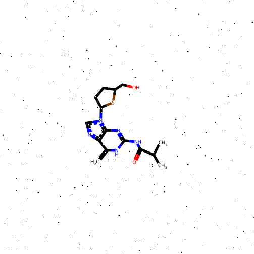 C=C1NC(NC(=O)C(C)C)=Nc2c1ncn2C1CCC(CO)S1